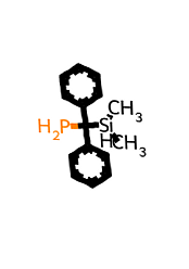 C[SiH](C)C(P)(c1ccccc1)c1ccccc1